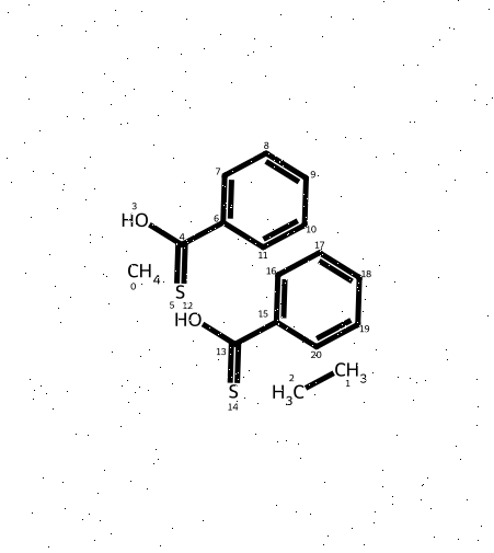 C.CC.OC(=S)c1ccccc1.OC(=S)c1ccccc1